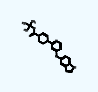 CC(C)(C)OC(=O)N1C=CC(c2cc(Oc3ccc4[nH]ccc4c3)ncn2)CC1